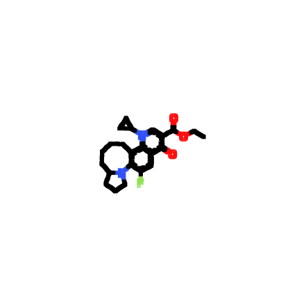 CCOC(=O)c1cn(C2CC2)c2c3c(c(F)cc2c1=O)N1CCCC1CCCC3